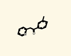 Cc1cccc(C(=O)Cc2ccccn2)c1